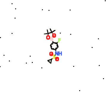 CC1(C)OB(c2ccc(NS(=O)(=O)C3CC3)cc2F)OC1(C)C